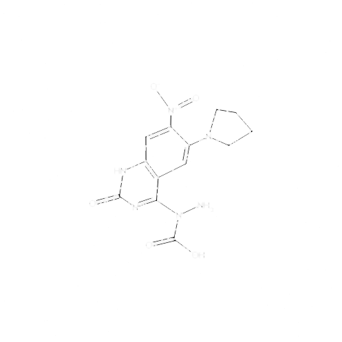 NN(C(=O)O)c1nc(=O)[nH]c2cc([N+](=O)[O-])c(N3CCCC3)cc12